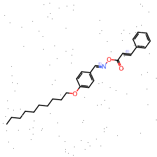 CCCCCCCCCCOc1ccc(/C=N/OC(=O)/C=C/c2ccccc2)cc1